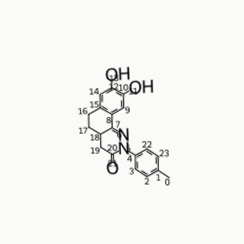 Cc1ccc(N2N=C3c4cc(O)c(O)cc4CCC3CC2=O)cc1